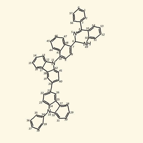 c1ccc(C2=NC(c3ccc(-n4c5ccccc5c5cc(-c6ccc7c(c6)c6ccccc6n7-c6ccccc6)ccc54)c4ccccc34)Nc3ccccc32)cc1